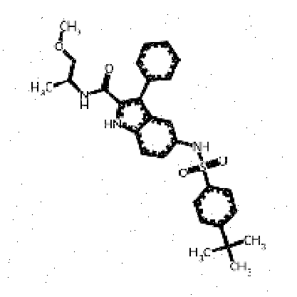 COC[C@H](C)NC(=O)c1[nH]c2ccc(NS(=O)(=O)c3ccc(C(C)(C)C)cc3)cc2c1-c1ccccc1